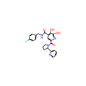 O=C(NCc1ccc(F)cc1)c1cc(C(=O)N2CCCC2c2ccccn2)nc(O)c1O